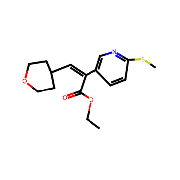 CCOC(=O)C(=CC1CCOCC1)c1ccc(SC)nc1